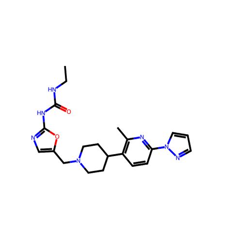 CCNC(=O)Nc1ncc(CN2CCC(c3ccc(-n4cccn4)nc3C)CC2)o1